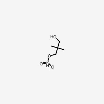 CC(C)(CO)CO[PH](=O)Cl